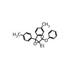 CCC1(C(=O)Oc2ccccc2)OC1(c1ccc(C)cc1)c1ccc(C)cc1